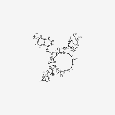 COC[C@@H]1C[C@@H](C)CC/C=C\[C@@H]2C[C@@]2(C(=O)NS(=O)(=O)C2(C)CC2)NC(=O)[C@@H]2C[C@@H](Oc3nccc4cc(OC)ccc34)CN2C(=O)[C@H]1NC(=O)OC(C)(C)C(F)(F)F